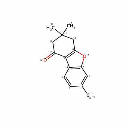 Cc1ccc2c3c(oc2c1)CC(C)(C)CC3=O